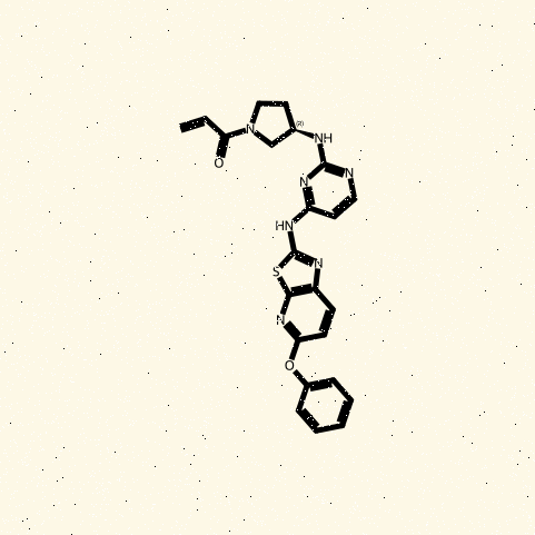 C=CC(=O)N1CC[C@@H](Nc2nccc(Nc3nc4ccc(Oc5ccccc5)nc4s3)n2)C1